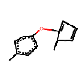 Cc1ccc(OC2=CC=CC2C)cc1